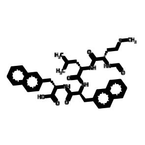 CSCC[C@H](NC=O)C(=O)N[C@@H](CC(C)C)C(=O)N[C@@H](Cc1ccc2ccccc2c1)C(=O)N[C@@H](Cc1ccc2ccccc2c1)C(=O)O